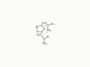 C1CCOC1.C[S+](C)[O-].C[S+](C)[O-]